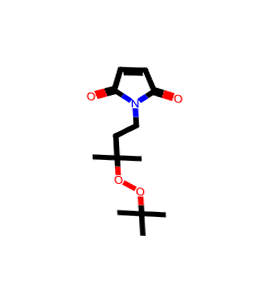 CC(C)(C)OOC(C)(C)CCN1C(=O)C=CC1=O